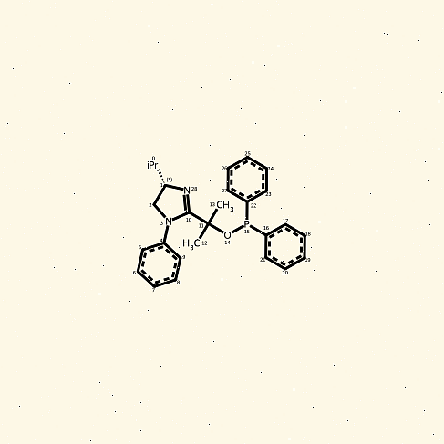 CC(C)[C@H]1CN(c2ccccc2)C(C(C)(C)OP(c2ccccc2)c2ccccc2)=N1